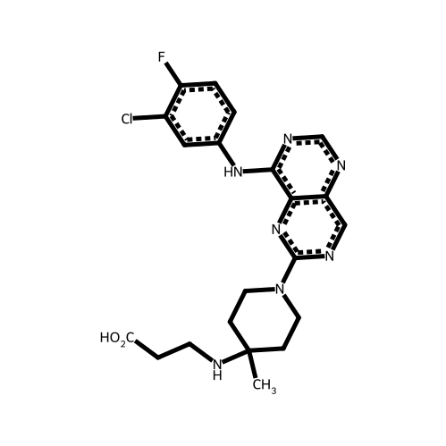 CC1(NCCC(=O)O)CCN(c2ncc3ncnc(Nc4ccc(F)c(Cl)c4)c3n2)CC1